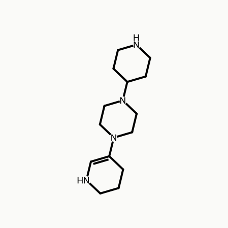 C1=C(N2CCN(C3CCNCC3)CC2)CCCN1